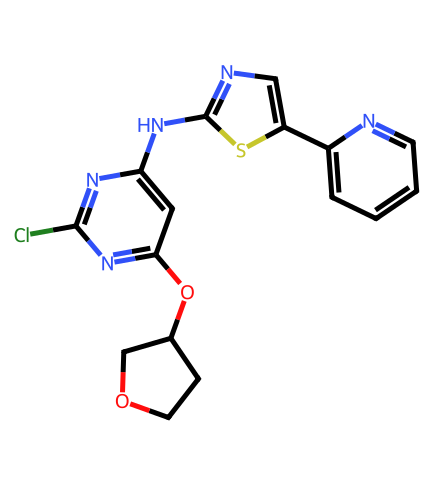 Clc1nc(Nc2ncc(-c3ccccn3)s2)cc(OC2CCOC2)n1